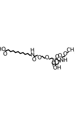 CCOCC(=O)N[C@@H](CC(=O)O)C(=O)NCCOCCOCC(=O)NCCCCCCCCCCC(=O)O